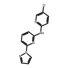 Clc1ccc(Nc2cccc(-n3cccn3)n2)nc1